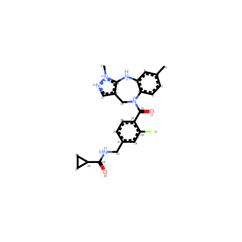 Cc1ccc2c(c1)Nc1c(cnn1C)CN2C(=O)c1ccc(CNC(=O)C2CC2)cc1F